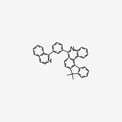 CC1(C)c2ccccc2-c2c1ccc1c(-c3cccc(-c4nccc5ccccc45)c3)nc3ccccc3c21